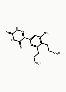 O=C(O)CCc1cc(-c2n[nH]c(=S)[nH]c2=O)cc([N+](=O)[O-])c1CCC(=O)O